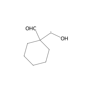 O=CC1([CH]O)CCCCC1